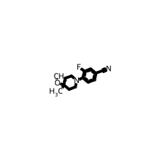 COC1(C)CCN(c2ccc(C#N)cc2F)CC1